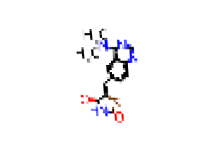 CN(C)c1ncnc2ccc(/C=C3\SC(=O)NC3=O)cc12